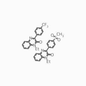 CCn1c(=O)c(-c2ccc(C(F)(F)F)cc2)nc2ccccc21.CCn1c(=O)c(-c2ccc(S(C)(=O)=O)cc2)nc2ccccc21